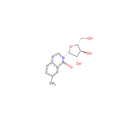 Cc1ccc2ccn([C@@H]3O[C@H](CO)[C@@H](O)[C@@H]3O)c(=O)c2c1